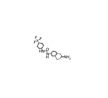 N[C@H]1CCc2cc(NC(=O)Nc3ccc(C(F)(F)F)cc3)ccc2C1